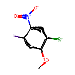 COc1cc(I)c([N+](=O)[O-])cc1Br